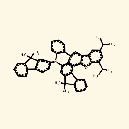 CC(C)c1cc(C(C)C)c2oc3ccc(-c4ccccc4N(c4ccc5c(c4)C(C)(C)c4ccccc4-5)c4ccc5c(c4)C(C)(C)c4ccccc4-5)cc3c2c1